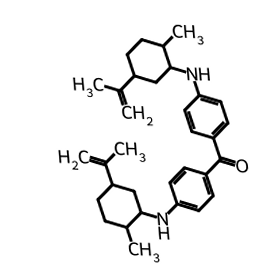 C=C(C)C1CCC(C)C(Nc2ccc(C(=O)c3ccc(NC4CC(C(=C)C)CCC4C)cc3)cc2)C1